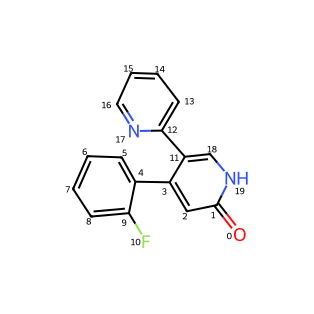 O=c1cc(-c2ccccc2F)c(-c2ccccn2)c[nH]1